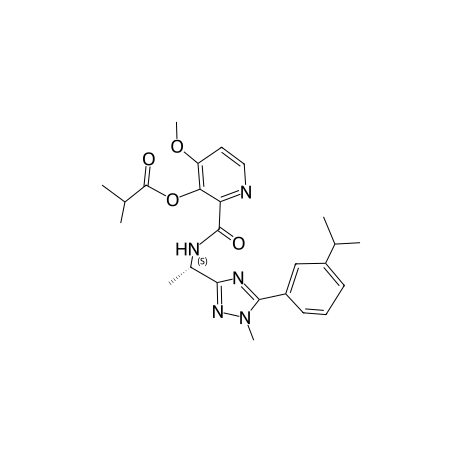 COc1ccnc(C(=O)N[C@@H](C)c2nc(-c3cccc(C(C)C)c3)n(C)n2)c1OC(=O)C(C)C